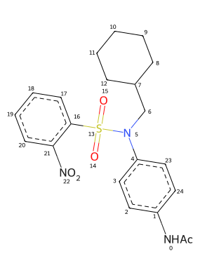 CC(=O)Nc1ccc(N(CC2CCCCC2)S(=O)(=O)c2ccccc2[N+](=O)[O-])cc1